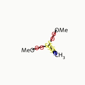 COCCOCCOCCSC1=C(SCCOCCOCCOC)SC(=C2Sc3cn(C)cc3S2)S1